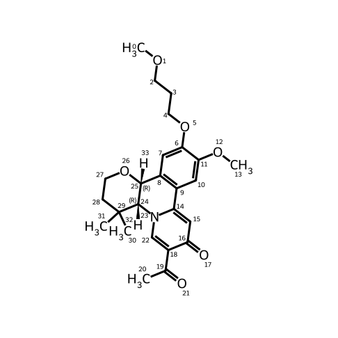 COCCCOc1cc2c(cc1OC)-c1cc(=O)c(C(C)=O)cn1[C@H]1[C@@H]2OCCC1(C)C